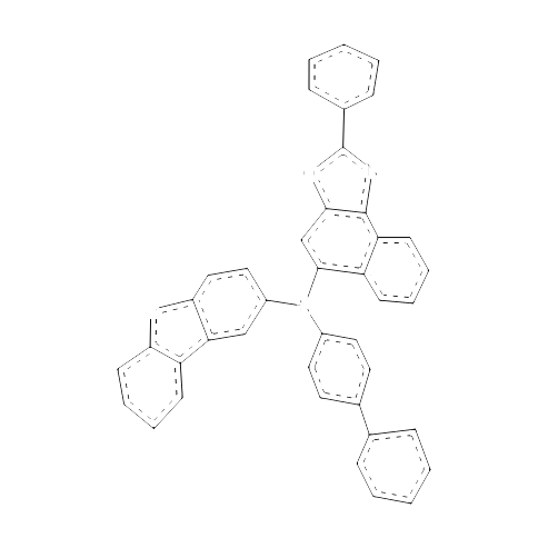 c1ccc(-c2ccc(N(c3ccc4oc5ccccc5c4c3)c3cc4oc(-c5ccccc5)nc4c4ccccc34)cc2)cc1